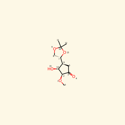 CO[C@@H]1C(=O)C[C@H]([C@@H]2COC(C)(C)O2)[C@@H]1O